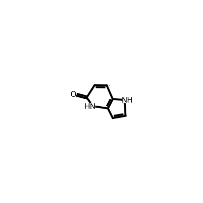 O=c1c[c]c2[nH]ccc2[nH]1